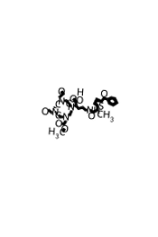 COC(=O)CN1CCN(CC=O)CCN(CC=O)CCN(C(CCCNC(=O)C(C)c2ccc(C(=O)c3ccccc3)s2)C(=O)O)CC1